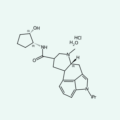 CC(C)n1cc2c3c(cccc31)C1CC(C(=O)N[C@@H]3CCC[C@@H]3O)CN(C)[C@@H]1C2.Cl.O